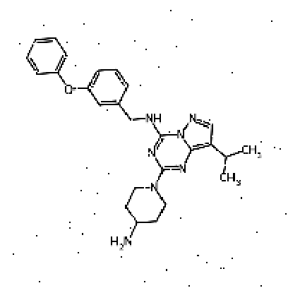 CC(C)c1cnn2c(NCc3cccc(Oc4ccccc4)c3)nc(N3CCC(N)CC3)nc12